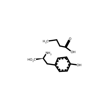 CCCC(=O)O.N[C@@H](Cc1ccc(O)cc1)C(=O)O